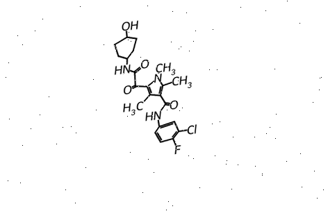 Cc1c(C(=O)Nc2ccc(F)c(Cl)c2)c(C)n(C)c1C(=O)C(=O)NC1CCC(O)CC1